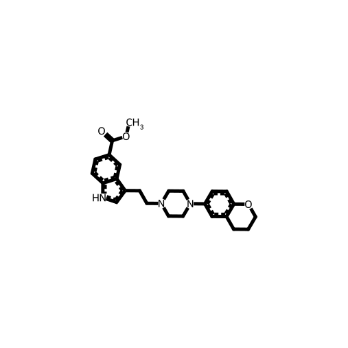 COC(=O)c1ccc2[nH]cc(CCN3CCN(c4ccc5c(c4)CCCO5)CC3)c2c1